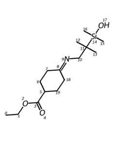 CCOC(=O)C1CCC(=NCC(C)(C)[Si](C)(C)O)CC1